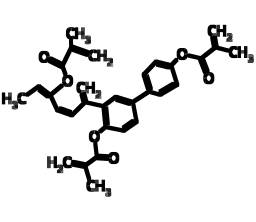 C=C(C)C(=O)OC(/C=C\C(=C)c1cc(-c2ccc(OC(=O)C(=C)C)cc2)ccc1OC(=O)C(=C)C)=C/C